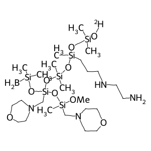 [2H]O[Si](C)(C)O[Si](C)(CCCNCCN)O[Si](C)(C)O[Si](CN1CCOCC1)(O[Si](B)(C)C)O[Si](C)(CN1CCOCC1)OC